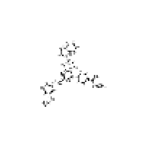 C=CC(=O)N1CCN(c2nc(OCc3cccc(CN)c3)nc3c2CC[C@@H](N2CCc4ccccc42)C3)CC1